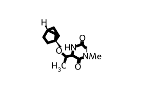 CNC(=O)C(NC(=O)I)C(C)OC[C@]12CC[C@H](CC1)C2